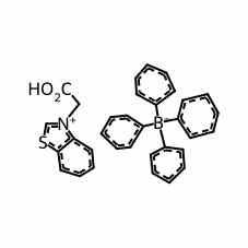 O=C(O)C[n+]1csc2ccccc21.c1ccc([B-](c2ccccc2)(c2ccccc2)c2ccccc2)cc1